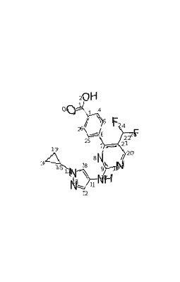 O=C(O)c1ccc(-c2nc(Nc3cnn(C4CC4)c3)ncc2C(F)F)cc1